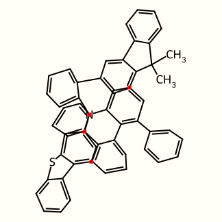 CC1(C)c2ccccc2-c2cc(-c3ccccc3N(c3ccc4c(c3)sc3ccccc34)c3cccc(-c4ccccc4)c3-c3ccccc3-c3ccccc3)ccc21